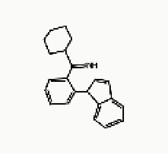 N=C(c1ccccc1C1C=Cc2ccccc21)C1CCCCC1